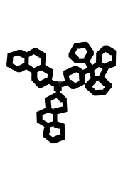 c1ccc(C2(c3ccc(N(c4ccc5c(ccc6ccccc65)c4)c4ccc5c(ccc6ccccc65)c4)cc3)c3ccccc3-c3ccccc32)cc1